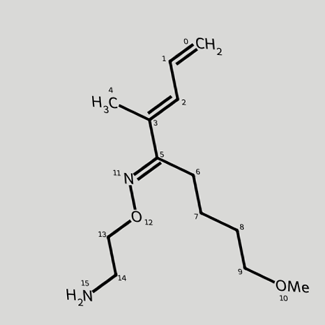 C=C/C=C(C)/C(CCCCOC)=N/OCCN